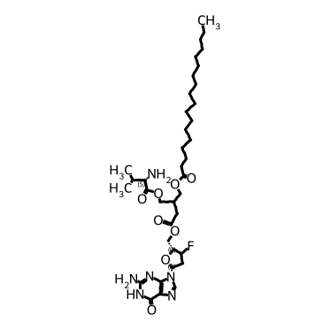 CCCCCCCCCCCCCCCCCC(=O)OCC(COC(=O)[C@@H](N)C(C)C)CC(=O)OC[C@H]1O[C@@H](n2cnc3c(=O)[nH]c(N)nc32)CC1F